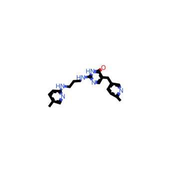 Cc1ccc(NCCCNc2ncc(Cc3ccc(C)nc3)c(=O)[nH]2)nc1